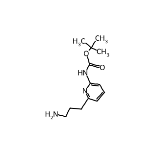 CC(C)(C)OC(=O)Nc1cccc(CCCN)n1